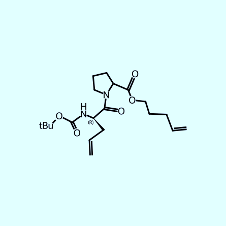 C=CCCCOC(=O)C1CCCN1C(=O)[C@@H](CC=C)NC(=O)OC(C)(C)C